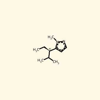 CC[C@@H](c1ccnn1C)C(C)C